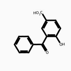 O=C(O)c1ccc(O)c(C(=O)c2ccccc2)c1